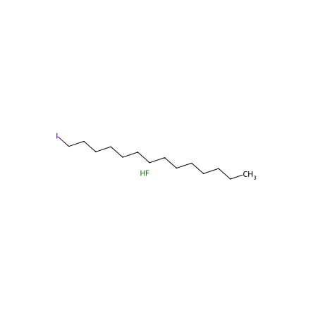 CCCCCCCCCCCCCCI.F